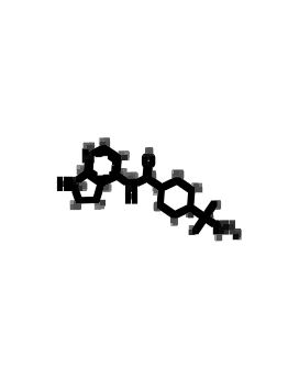 CC(C)(N)C1CCC(C(=O)Nc2ccnc3c2CCN3)CC1